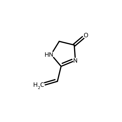 C=CC1=NC(=O)CN1